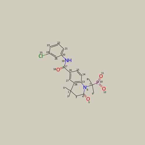 CC1(C)CC(=O)N(C(C)(C)P(=O)=O)c2ccc(C(=O)Nc3cccc(Cl)c3)cc21